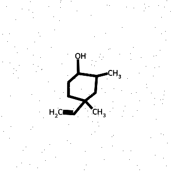 C=CC1(C)CCC(O)C(C)C1